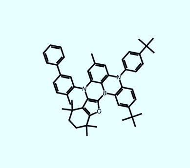 Cc1cc2c3c(c1)N(c1cc(-c4ccccc4)ccc1C)c1c(oc4c1C(C)(C)CCC4(C)C)B3c1cc(C(C)(C)C)ccc1N2c1ccc(C(C)(C)C)cc1